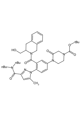 CCCCN(CCCC)C(=O)c1cc(C)n(-c2ccc(N3CCN(C(=O)OC(C)(C)C)CC3=O)cc2C(=O)N2Cc3ccccc3CC2CO)n1